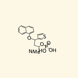 CNC(CC(Oc1cccc2ccccc12)c1ccsc1)OP(=O)(O)O